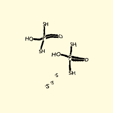 O=P(O)(S)S.O=P(O)(S)S.[S].[S].[S]